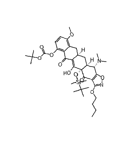 CCCCOc1noc2c1C(=O)[C@@]1(O[Si](C)(C)C(C)(C)C)C(O)=C3C(=O)c4c(OC(=O)OC(C)(C)C)ccc(OC)c4C[C@H]3C[C@H]1[C@@H]2N(C)C